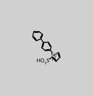 O=S(=O)(O)C1=CC=C[SeH]1c1ccc(-c2ccccc2)cc1